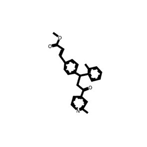 COC(=O)/C=C/c1ccc(C(CC(=O)c2ccnc(C)c2)c2ccccc2C)cc1